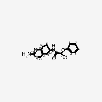 CCC(Oc1ccccc1)C(=O)NC1CCc2nc(N)ncc2C1